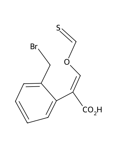 O=C(O)/C(=C/OC=S)c1ccccc1CBr